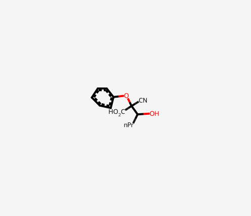 CCCC(O)C(C#N)(Oc1ccccc1)C(=O)O